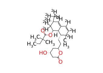 [2H]C1=C([2H])[C@]([2H])(C)[C@H](CCC2C[C@@H](O)CC(=O)O2)[C@@H]2C1=C([2H])[C@]([2H])(C([2H])([2H])[2H])C([2H])([2H])C2OC(=O)C(C)(C)CC